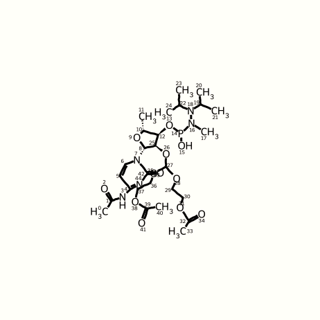 CC(=O)Nc1ccn([C@@H]2O[C@H](C)[C@@H](OP(O)N(C)N(C(C)C)C(C)C)[C@H]2OC(OCCOC(C)=O)OCCOC(C)=O)c(=O)n1